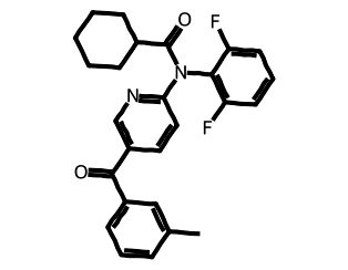 Cc1cccc(C(=O)c2ccc(N(C(=O)C3CCCCC3)c3c(F)cccc3F)nc2)c1